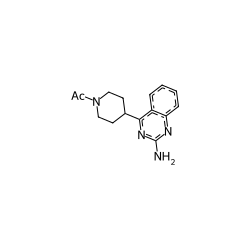 CC(=O)N1CCC(c2nc(N)nc3ccccc23)CC1